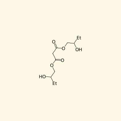 CCC(O)COC(=O)CC(=O)OCC(O)CC